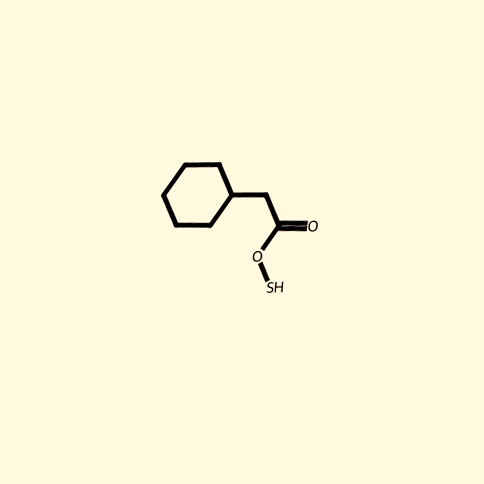 O=C(CC1CCCCC1)OS